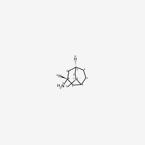 CN1C[C@@H]2CCC1C[C@H](N)C2